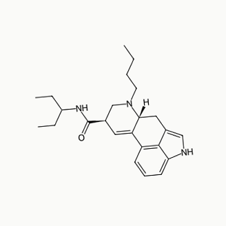 CCCCN1C[C@H](C(=O)NC(CC)CC)C=C2c3cccc4[nH]cc(c34)C[C@H]21